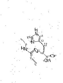 C=CC(=O)NCC.O=C(O)C=Cc1c[nH]cn1